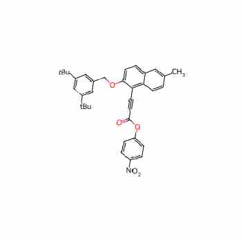 Cc1ccc2c(C#CC(=O)Oc3ccc([N+](=O)[O-])cc3)c(OCc3cc(C(C)(C)C)cc(C(C)(C)C)c3)ccc2c1